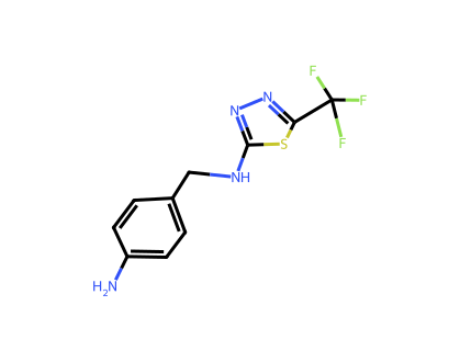 Nc1ccc(CNc2nnc(C(F)(F)F)s2)cc1